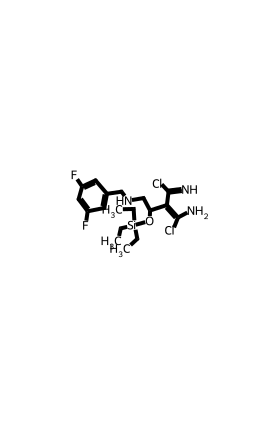 CC[Si](CC)(CC)OC(CNCc1cc(F)cc(F)c1)/C(C(=N)Cl)=C(/N)Cl